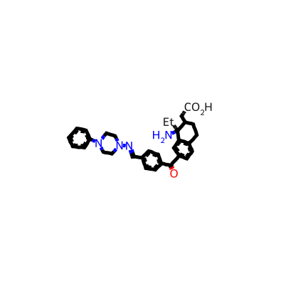 CCC1(N)c2cc(C(=O)c3ccc(C=NN4CCN(c5ccccc5)CC4)cc3)ccc2CCC1CC(=O)O